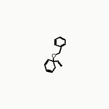 C=CC1(OCc2ccccc2)C=CC=CC1